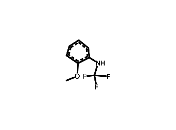 COc1ccccc1NC(F)(F)F